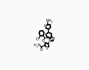 C[C@@H](Oc1c(-n2cnc3cc(-c4ccc(N)nc4)ccc32)csc1C(N)=O)c1ccccc1Cl